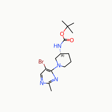 Cc1ncc(Br)c(N2CCC[C@@H](NC(=O)OC(C)(C)C)C2)n1